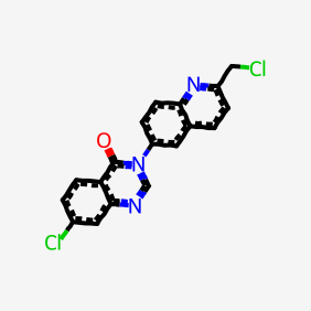 O=c1c2ccc(Cl)cc2ncn1-c1ccc2nc(CCl)ccc2c1